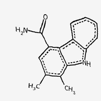 Cc1cc(C(N)=O)c2c([nH]c3ccccc32)c1C